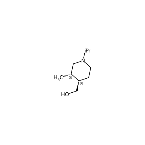 CC(C)N1CC[C@@H](CO)[C@H](C)C1